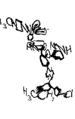 CN1CCN(Nc2ccc(S(=O)(=O)NC(=O)c3ccc(N4CCN(CC5=C(c6ccc(Cl)cc6)CC(C)(C)CC5)CC4)cc3Oc3cccc4[nH]cnc34)cc2[N+](=O)[O-])CC1